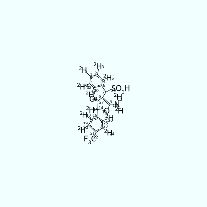 [2H]c1c([2H])c([2H])c(C(C2=C(N([2H])[2H])OC([2H])(c3c([2H])c([2H])c(C(F)(F)F)c([2H])c3[2H])C2=O)S(=O)(=O)O)c([2H])c1[2H]